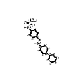 CC(C)(C)S(=O)(=O)Nc1ccc(CNc2ccc(-c3ccccc3)cc2)cc1